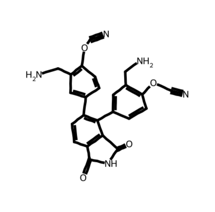 N#COc1ccc(-c2ccc3c(c2-c2ccc(OC#N)c(CN)c2)C(=O)NC3=O)cc1CN